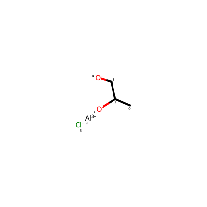 CC([O-])C[O-].[Al+3].[Cl-]